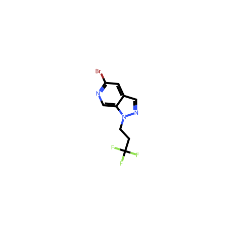 FC(F)(F)CCn1ncc2cc(Br)ncc21